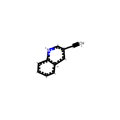 C#Cc1cnc2cc[c]cc2c1